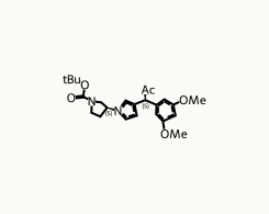 COc1cc(OC)cc([C@H](C(C)=O)c2ccn([C@H]3CCN(C(=O)OC(C)(C)C)C3)c2)c1